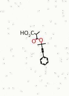 CC(C(=O)O)C(=O)OC(C)(C)C#Cc1ccccc1